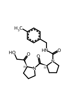 Cc1ccc(CNC(=O)N2CCC[C@H]2C(=O)N2CCC[C@H]2C(=O)CO)cc1